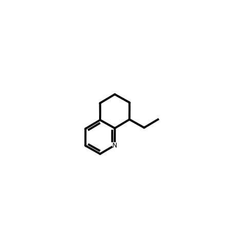 CCC1CCCc2cccnc21